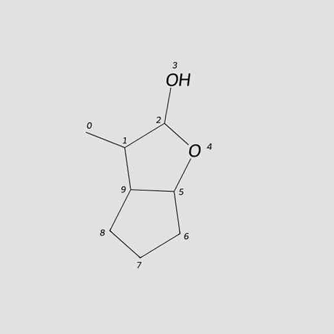 CC1C(O)OC2CCCC21